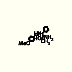 COc1ccc(CCNC(c2ccccc2)[C@H](N)[C@@H](C)O)cc1